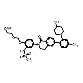 COCCOCOc1ccc(N2CCc3cc(-c4ccc(C(F)(F)F)cc4N4CCC(O)CC4)ccc3C2=O)cc1NS(C)(=O)=O